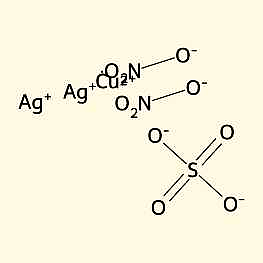 O=S(=O)([O-])[O-].O=[N+]([O-])[O-].O=[N+]([O-])[O-].[Ag+].[Ag+].[Cu+2]